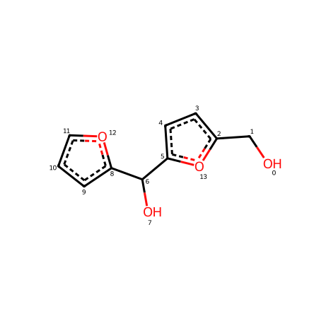 OCc1ccc(C(O)c2ccco2)o1